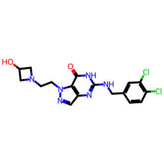 O=c1[nH]c(NCc2ccc(Cl)c(Cl)c2)nc2cnn(CCN3CC(O)C3)c12